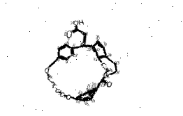 O=C(O)CC1c2ccc(cc2)OCCCCCc2ccc(cc2)C(=O)N2CCc3ccc1cc3C2